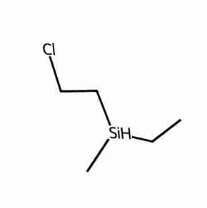 CC[SiH](C)CCCl